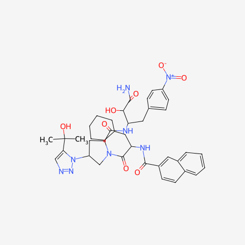 CC(C)(O)c1cnnn1C1CC(C(=O)NC(Cc2ccc([N+](=O)[O-])cc2)C(O)C(N)=O)N(C(=O)C(CC2CCCCC2)NC(=O)c2ccc3ccccc3c2)C1